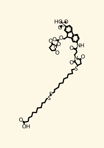 O=C(O)CCCCCCCCCCSSCCCCCCCCCCSC1CC(=O)N(CCC(=O)Nc2ccc3c(c2)C(COC(=O)ON2C(=O)CCC2=O)c2cc(S(=O)(=O)O)ccc2-3)C1=O